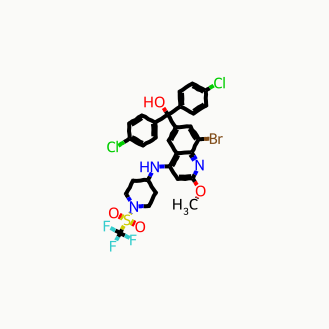 COc1cc(NC2CCN(S(=O)(=O)C(F)(F)F)CC2)c2cc(C(O)(c3ccc(Cl)cc3)c3ccc(Cl)cc3)cc(Br)c2n1